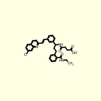 CCNC(=O)c1ccccc1CCC(NC(=O)CCC(=O)O)c1cccc(/C=C/c2ccc3ccc(Cl)cc3n2)c1